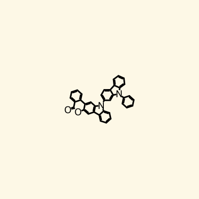 O=c1oc2cc3c4ccccc4n(-c4ccc5c6ccccc6n(-c6ccccc6)c5c4)c3cc2c2ccccc12